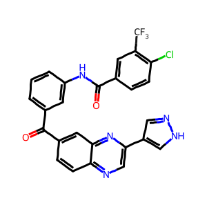 O=C(Nc1cccc(C(=O)c2ccc3ncc(-c4cn[nH]c4)nc3c2)c1)c1ccc(Cl)c(C(F)(F)F)c1